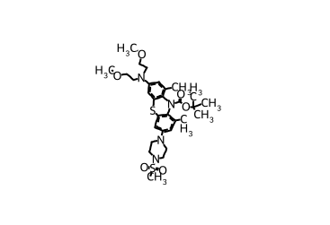 COCCN(CCOC)c1cc(C)c2c(c1)Sc1cc(N3CCN(S(C)(=O)=O)CC3)cc(C)c1N2C(=O)OC(C)(C)C